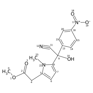 COC(=O)Cc1ccc(C(O)(C#N)c2ccc([N+](=O)[O-])cc2)n1C